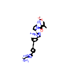 COC(=O)N[C@H](C(=O)N1CCC[C@H]1c1ncc(-c2ccc(C#Cc3ccc(-c4cnc([C@H](C)N)[nH]4)cc3)cc2)[nH]1)C(C)C